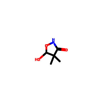 CC1(C)C(=O)NOC1O